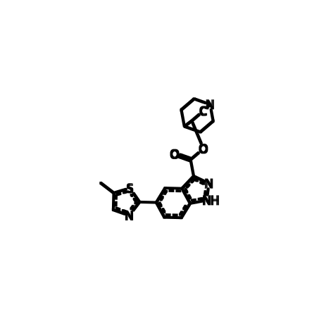 Cc1cnc(-c2ccc3[nH]nc(C(=O)OC4CN5CCC4CC5)c3c2)s1